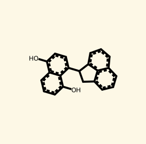 Oc1ccc(C2Cc3cccc4cccc2c34)c2c(O)cccc12